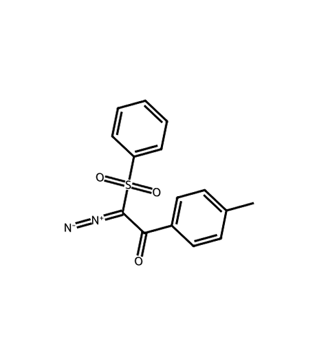 Cc1ccc(C(=O)C(=[N+]=[N-])S(=O)(=O)c2ccccc2)cc1